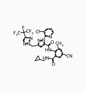 Cc1cc(C#N)cc(C(=O)NCC2CC2)c1NC(=O)c1cc(Cn2ncc(C(F)(C(F)(F)F)C(F)(F)F)n2)nn1-c1ncccc1Cl